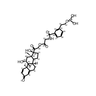 C[C@]12C=CC(=O)C=C1CC[C@H]1C3CCC(O)(C(=O)COC(=O)CNC(=O)c4cccc(CCON(O)O)c4)[C@@]3(C)C[C@H](O)C12F